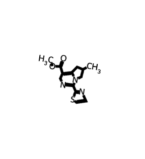 COC(=O)C1=C2CC(C)CN2C(c2nccs2)=NC1